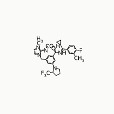 Cc1cc([C@@H](NC(=O)c2cc(Cn3ccn(C)c3=NC(=O)O)cc(N3CCCC3C(F)(F)F)c2)C2CC2)ccc1F